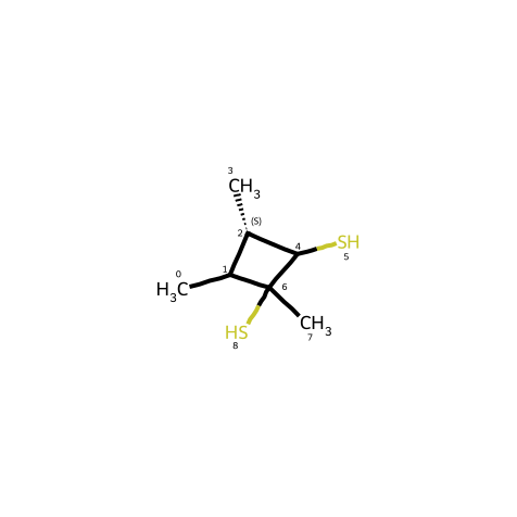 CC1[C@H](C)C(S)C1(C)S